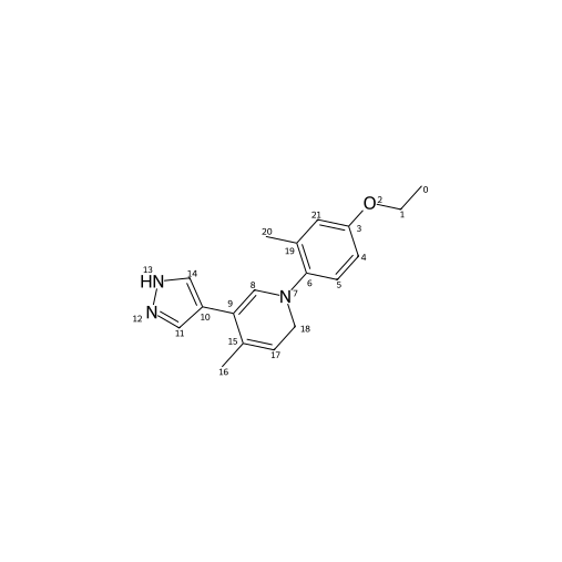 CCOc1ccc(N2C=C(c3cn[nH]c3)C(C)=CC2)c(C)c1